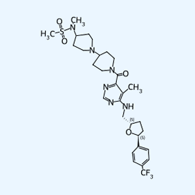 Cc1c(NC[C@@H]2CC[C@@H](c3ccc(C(F)(F)F)cc3)O2)ncnc1C(=O)N1CCC(N2CCC(N(C)S(C)(=O)=O)CC2)CC1